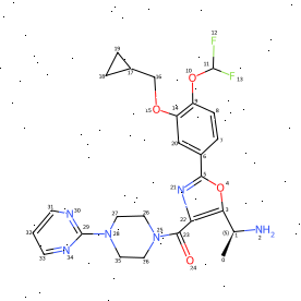 C[C@H](N)c1oc(-c2ccc(OC(F)F)c(OCC3CC3)c2)nc1C(=O)N1CCN(c2ncccn2)CC1